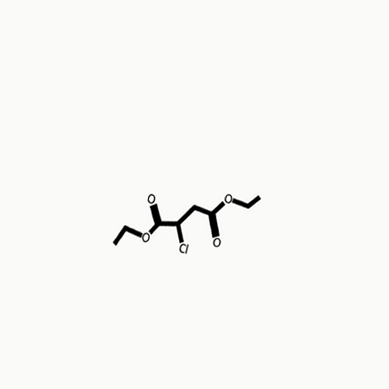 CCOC(=O)CC(Cl)C(=O)OCC